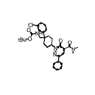 CN(C)C(=O)c1cc(-c2ccccc2)nn(C2CCC(CNC(=O)OC(C)(C)C)(c3cccc(Cl)c3)CC2)c1=O